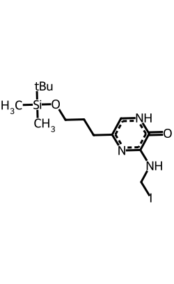 CC(C)(C)[Si](C)(C)OCCCc1c[nH]c(=O)c(NCI)n1